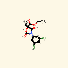 CCOC(=O)C1(CC)OC(=O)N(c2cc(Cl)cc(Cl)c2)C1=O